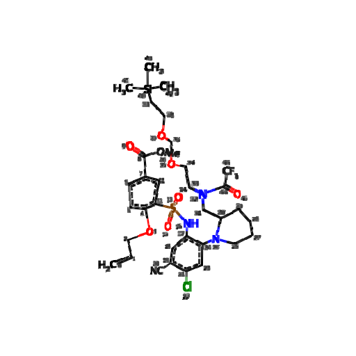 C=CCOc1ccc(C(=O)OC)cc1S(=O)(=O)Nc1cc(C#N)c(Cl)cc1N1CCCCC1CN(CCOCOCC[Si](C)(C)C)C(=O)C(F)(F)F